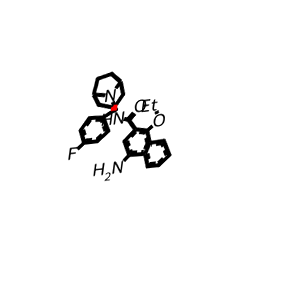 CCOc1c(C(=O)NC2CC3CCC(C2)N3Cc2ccc(F)cc2)cc(N)c2ccccc12